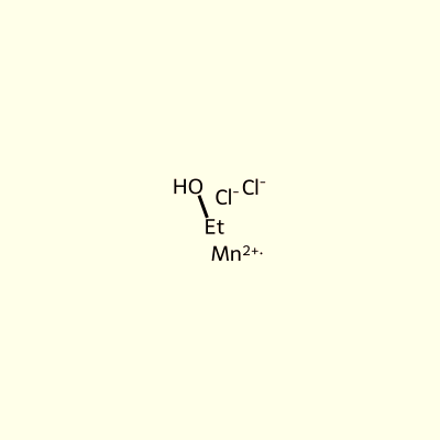 CCO.[Cl-].[Cl-].[Mn+2]